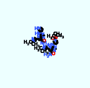 CC(C)n1cc(-c2cc(C(N)=O)c3ncnc(N[C@H]4CCCN(C(=O)OC(C)(C)C)C4)c3n2)cn1.CC(C)n1cc(-c2cc(C(N)=O)c3ncnc(N[C@H]4CCCNC4)c3n2)cn1